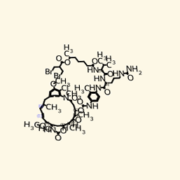 COc1cc2cc(c1Cl)N(C)C(=O)C[C@H](OC(=O)Nc1ccc(NC(=O)[C@H](CCCNC(N)=O)NC(=O)[C@@H](NC(=O)CCCCC(C)OC(=O)C(CBr)CBr)C(C)C)c(C)c1)[C@]1(C)O[C@H]1[C@H](C)[C@@H]1C[C@@](O)(NC(=O)O1)[C@H](OC)/C=C/C=C(\C)C2